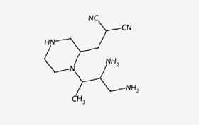 CC(C(N)CN)N1CCNCC1CC(C#N)C#N